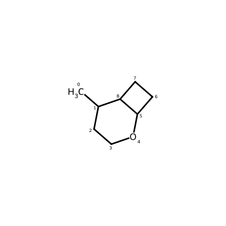 CC1CCOC2CCC12